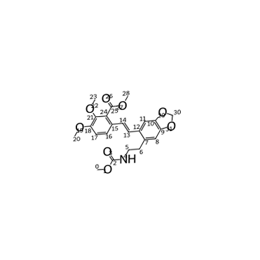 COC(=O)NCCc1cc2c(cc1/C=C/c1ccc(OC)c(OC)c1C(=O)OC)OCO2